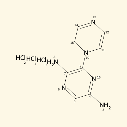 Cl.Cl.Cl.Nc1cnc(N)c(N2C=CN=CC2)n1